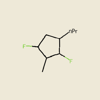 CCCC1CC(F)C(C)C1F